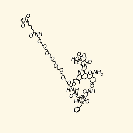 CC[C@@]1(O)C(=O)OCc2c1cc1n(c2=O)Cc2c-1nc1cc(F)c(C)c3c1c2CC(C1C[C@@H](OCNC(=O)CNC(=O)[C@H](Cc2ccccc2)NC(=O)CNC(=O)CNC(=O)COCCOCCOCCOCCOCCOCCOCCOCCNC(=O)CCCCCN2C(=O)C=CC2=O)CCC1C(N)=O)C3